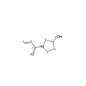 C=CC(=O)N1C[CH]C(O)C1